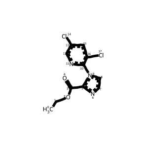 CCOC(=O)c1nccn1-c1ncc(Cl)cc1Cl